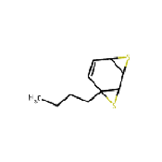 CCCCC12C=CC3SC3C1S2